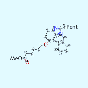 CCCCCc1nc2ccc(OCCCCCC(=O)OC)cc2n1Cc1ccccc1